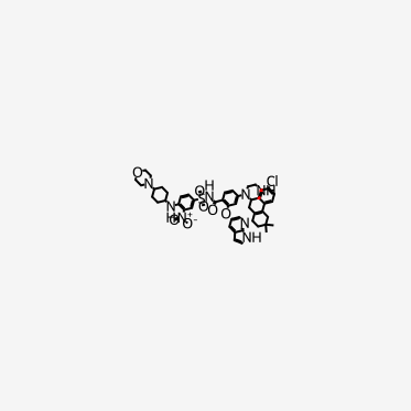 CC1(C)CCC(CC2CNCCN2c2ccc(C(=O)NS(=O)(=O)c3ccc(NC4CCC(N5CCOCC5)CC4)c([N+](=O)[O-])c3)c(Oc3cnc4[nH]ccc4c3)c2)=C(c2ccc(Cl)cc2)C1